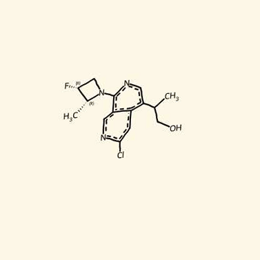 CC(CO)c1cnc(N2C[C@@H](F)[C@H]2C)c2cnc(Cl)cc12